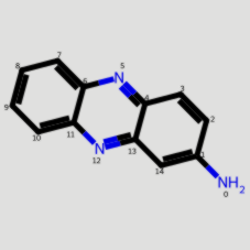 Nc1ccc2nc3ccccc3nc2c1